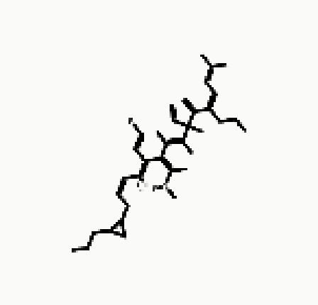 C=CC(C)(C(=C)/C(=C\C=C(C)C)CCC)/C(C)=C(C)/C(C(/C=C/F)=C(N)/C=C\CC1CC1CCC)=C(\C)N(C)F